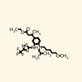 CCOC(=O)C[C@@H](C)c1ccc(N(CCCCCOC)CC(C)C)c(Nc2nc(C(F)(F)F)ns2)c1